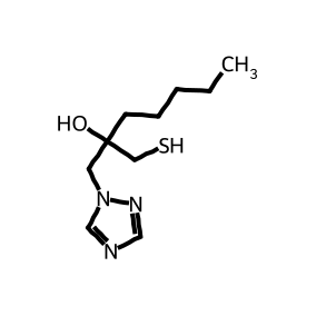 CCCCCC(O)(CS)Cn1cncn1